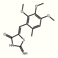 COc1cc(C)c(C=C2SC(=N)NC2=O)c(OC)c1OC